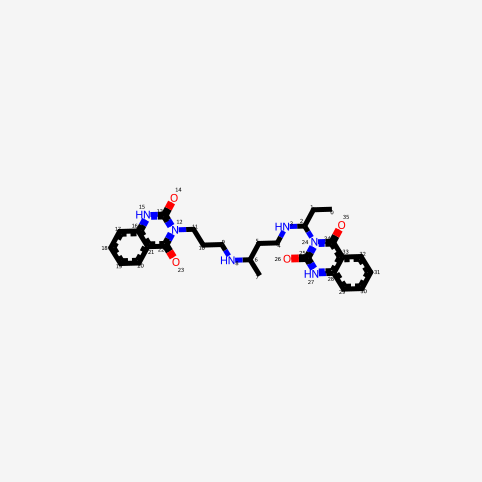 CCC(NCCC(C)NCCCn1c(=O)[nH]c2ccccc2c1=O)n1c(=O)[nH]c2ccccc2c1=O